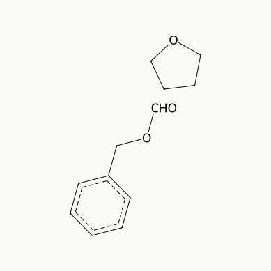 C1CCOC1.O=COCc1ccccc1